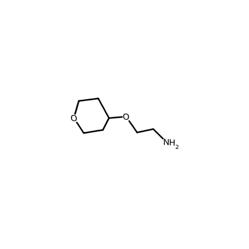 NCCOC1CCOCC1